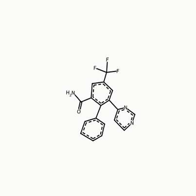 NC(=O)c1cc(C(F)(F)F)cc(-c2ccncn2)c1-c1ccccc1